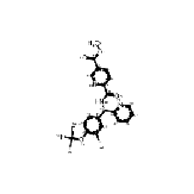 COC(=O)c1ccc(C(=O)N[C@@H](c2ccc(OC(F)(F)F)c(F)c2)c2ccccn2)nc1